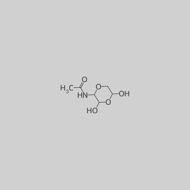 CC(=O)NC1OCC(O)OC1O